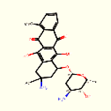 COc1cccc2c1C(=O)c1c(O)c3c(c(O)c1C2=O)C(O[C@H]1C[C@H](N)[C@@H](O)[C@@H](C)O1)CC(N)(C(C)=O)C3